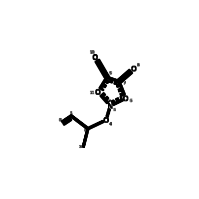 C=CC(C)On1oc(=O)c(=O)o1